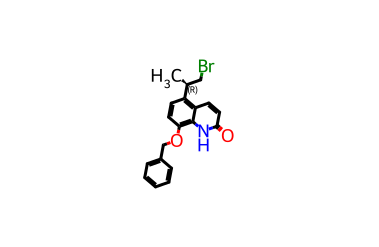 C[C@@H](CBr)c1ccc(OCc2ccccc2)c2[nH]c(=O)ccc12